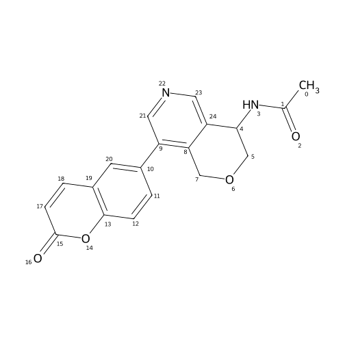 CC(=O)NC1COCc2c(-c3ccc4oc(=O)ccc4c3)cncc21